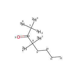 [2H]C([2H])([2H])C(=O)C([2H])([2H])CCCC